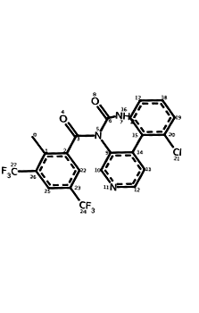 Cc1c(C(=O)N(C(N)=O)c2cnccc2-c2ccccc2Cl)cc(C(F)(F)F)cc1C(F)(F)F